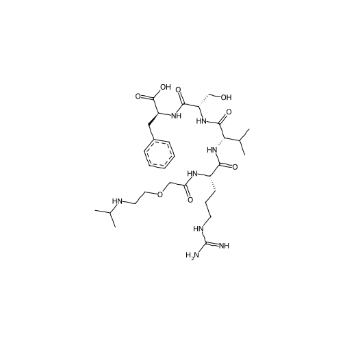 CC(C)NCCOCC(=O)N[C@@H](CCCNC(=N)N)C(=O)N[C@H](C(=O)N[C@@H](CO)C(=O)N[C@@H](Cc1ccccc1)C(=O)O)C(C)C